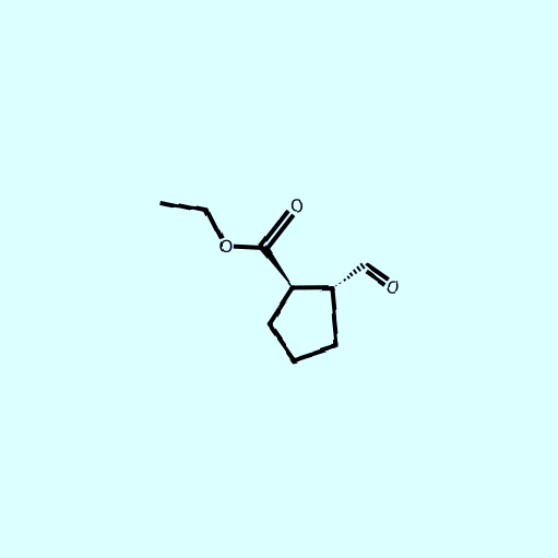 CCOC(=O)[C@@H]1CCC[C@H]1C=O